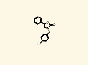 O=C1OC(c2ccccc2)CN1Sc1ccc(Cl)cc1